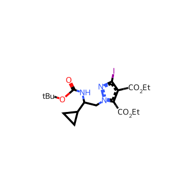 CCOC(=O)c1c(I)nn(CC(NC(=O)OC(C)(C)C)C2CC2)c1C(=O)OCC